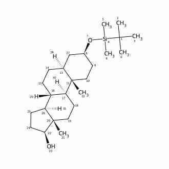 CC(C)(C)[Si](C)(C)O[C@H]1CC[C@@]2(C)[C@@H](CC[C@@H]3[C@@H]2CC[C@]2(C)[C@@H](O)CC[C@@H]32)C1